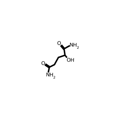 NC(=O)CCC(O)C(N)=O